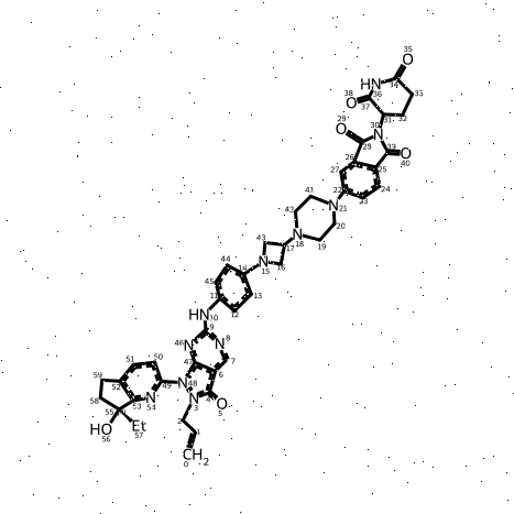 C=CCn1c(=O)c2cnc(Nc3ccc(N4CC(N5CCN(c6ccc7c(c6)C(=O)N(C6CCC(=O)NC6=O)C7=O)CC5)C4)cc3)nc2n1-c1ccc2c(n1)[C@@](O)(CC)CC2